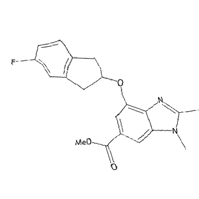 COC(=O)c1cc(OC2Cc3ccc(F)cc3C2)c2nc(C)n(C)c2c1